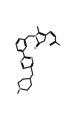 C=C(C)/C=C\C1=C(C)N(Cc2cccc(-c3ncc(CC4CCN(C)CC4)cn3)c2)C(=O)C1